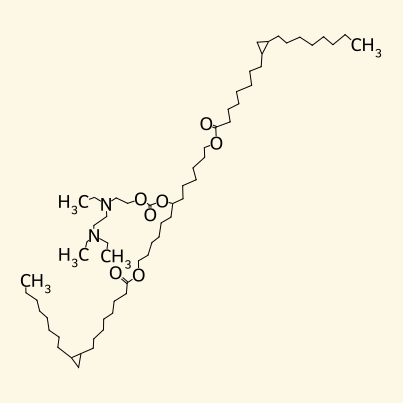 CCCCCCCCC1CC1CCCCCCCC(=O)OCCCCCCC(CCCCCCOC(=O)CCCCCCCC1CC1CCCCCCCC)OC(=O)OCCN(CC)CCN(CC)CC